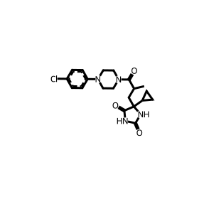 CC(CC1(C2CC2)NC(=O)NC1=O)C(=O)N1CCN(c2ccc(Cl)cc2)CC1